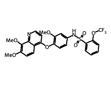 COc1cc(NS(=O)(=O)c2ccccc2OC(F)(F)F)ccc1Oc1ccnc2c(OC)c(OC)ccc12